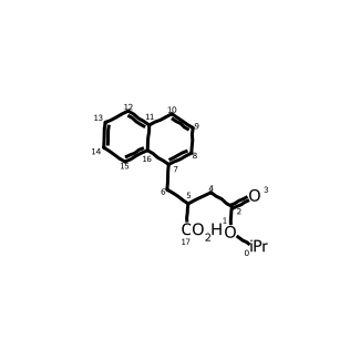 CC(C)OC(=O)CC(Cc1cccc2ccccc12)C(=O)O